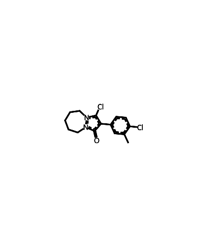 Cc1cc(-c2c(Cl)n3n(c2=O)CCCCC3)ccc1Cl